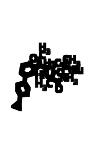 Cc1oc2ccc(-c3ccc(C4CC4)cc3)cc2c1C(=O)NC(C)(CO[Si](C)(C)C(C)(C)C)C(N)=O